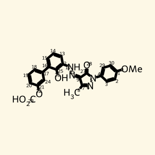 COc1ccc(N2N=C(C)C(=NNc3cccc(-c4cccc(OC(=O)O)c4)c3O)C2=O)cc1